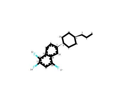 CCC[C@H]1CC[C@H](c2ccc3c(F)c(F)cc(F)c3c2)CC1